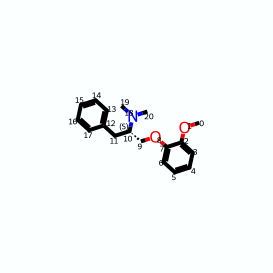 COc1ccccc1OC[C@H](Cc1ccccc1)N(C)C